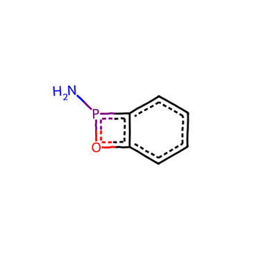 Np1oc2ccccc21